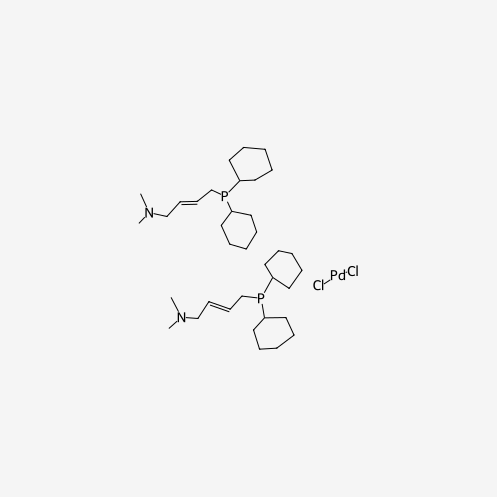 CN(C)CC=CCP(C1CCCCC1)C1CCCCC1.CN(C)CC=CCP(C1CCCCC1)C1CCCCC1.[Cl][Pd][Cl]